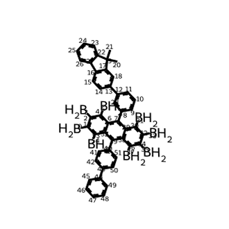 Bc1c(B)c(B)c2c(-c3cccc(-c4ccc5c(c4)C(C)(C)c4ccccc4-5)c3)c3c(B)c(B)c(B)c(B)c3c(-c3ccc(-c4ccccc4)cc3)c2c1B